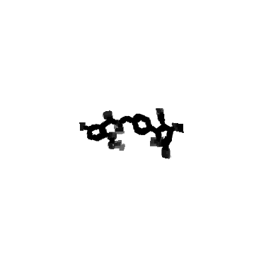 COc1ccc(F)cc1C(=O)NCc1ccc(-c2[nH]c(=O)cc(O)c2C#N)cc1